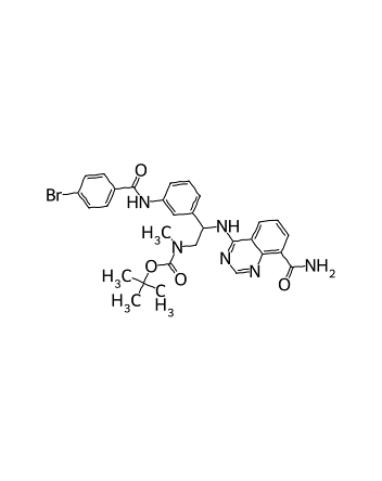 CN(CC(Nc1ncnc2c(C(N)=O)cccc12)c1cccc(NC(=O)c2ccc(Br)cc2)c1)C(=O)OC(C)(C)C